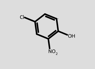 O=[N+]([O-])c1cc(Cl)c[c]c1O